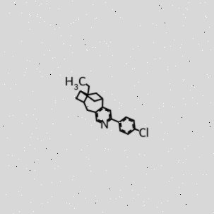 CCC12CC3CC1CC2Cc1cnc(-c2ccc(Cl)cc2)cc13